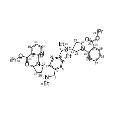 CCN(Cc1ccc(C[N+](CC)(CC)[C@@H]2CCN(c3ncccc3C(=O)OC(C)C)C2)cc1)[C@@H]1CCN(c2ncccc2C(=O)OC(C)C)C1